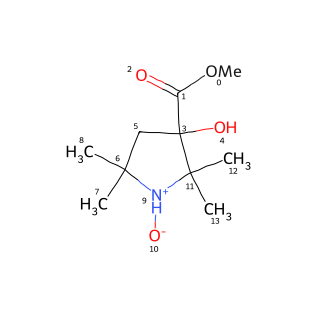 COC(=O)C1(O)CC(C)(C)[NH+]([O-])C1(C)C